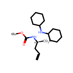 C1CCC(NC2CCCCC2)CC1.C=CC[C@@H](NC(=O)OC(C)(C)C)C(=O)O